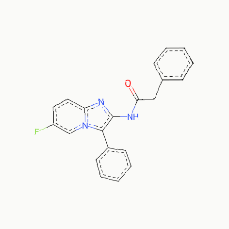 O=C(Cc1ccccc1)Nc1nc2ccc(F)cn2c1-c1ccccc1